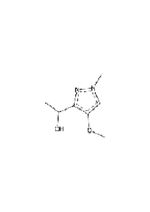 COc1cn(C)nc1C(C)O